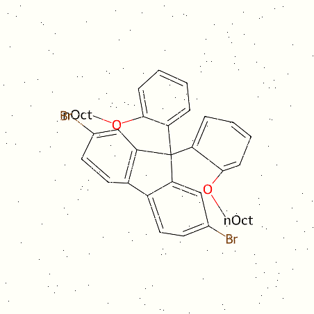 CCCCCCCCOc1ccccc1C1(c2ccccc2OCCCCCCCC)c2cc(Br)ccc2-c2ccc(Br)cc21